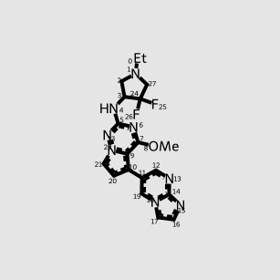 CCN1CC(Nc2nc(OC)c3c(-c4cnc5nccn5c4)ccn3n2)C(F)(F)C1